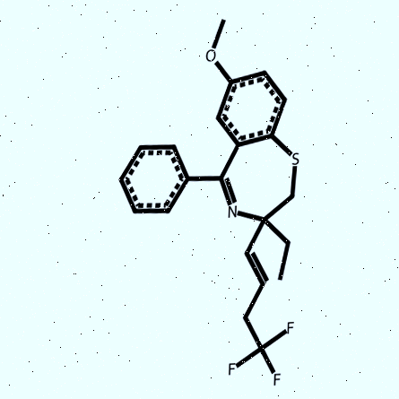 CCC1(C=CCC(F)(F)F)CSc2ccc(OC)cc2C(c2ccccc2)=N1